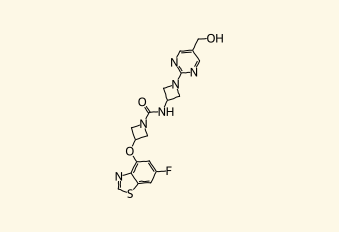 O=C(NC1CN(c2ncc(CO)cn2)C1)N1CC(Oc2cc(F)cc3scnc23)C1